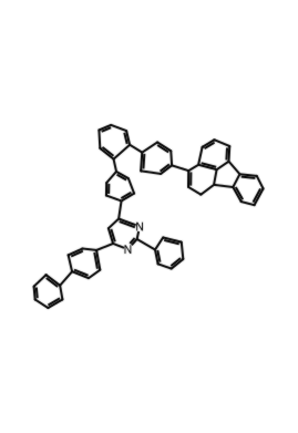 C1=C(c2ccc(-c3ccccc3-c3ccc(-c4cc(-c5ccc(-c6ccccc6)cc5)nc(-c5ccccc5)n4)cc3)cc2)c2cccc3c2C(C1)c1ccccc1-3